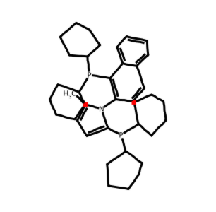 Cc1ccc(P(C2CCCCC2)C2CCCCC2)n1-c1ccc2ccccc2c1P(C1CCCCC1)C1CCCCC1